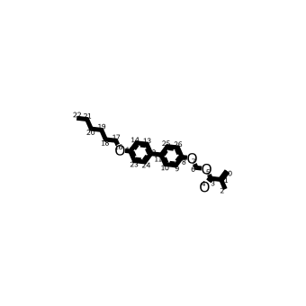 C=C(C)C(=O)OCOc1ccc(-c2ccc(OCCCCCC)cc2)cc1